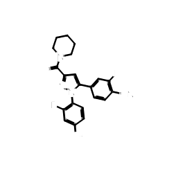 CC(C)(C)c1ccc(-n2nc(C(=O)N3CCCCC3)cc2-c2ccc(C#N)c(F)c2)c(F)c1